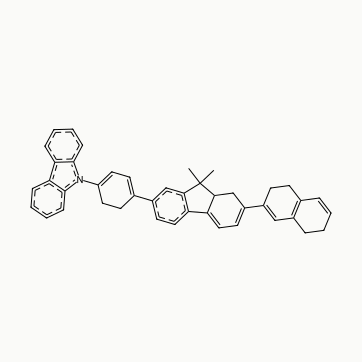 CC1(C)c2cc(C3=CC=C(n4c5ccccc5c5ccccc54)CC3)ccc2C2=CC=C(C3=CC4=C(C=CCC4)CC3)CC21